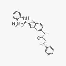 Nc1ccccc1NC(=O)c1cc2cc(NC(=O)CNc3ccccc3)ccc2s1